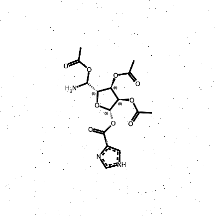 CC(=O)OC(N)[C@H]1O[C@@H](OC(=O)c2c[nH]cn2)[C@H](OC(C)=O)[C@@H]1OC(C)=O